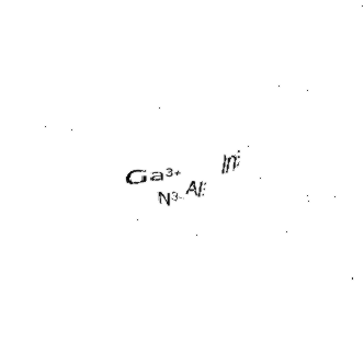 [Al].[Ga+3].[In].[N-3]